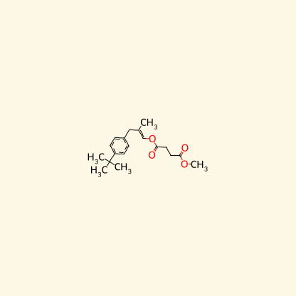 COC(=O)CCC(=O)OC=C(C)Cc1ccc(C(C)(C)C)cc1